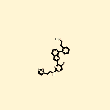 NCCc1ccccc1-c1cccc2cc(-c3nc(NCCn4ccnn4)ncc3F)sc12